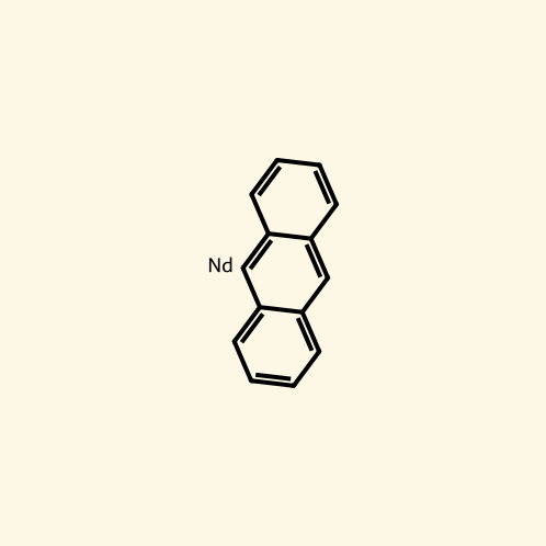 [Nd].c1ccc2cc3ccccc3cc2c1